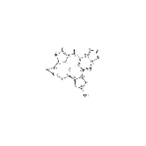 COC(=O)[C@@H]1C[C@@H](O)CN1c1nc(Nc2cc(C3CC3)[nH]n2)c2cccn2n1